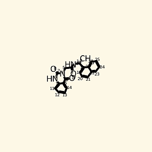 C[C@H](NC(=O)Cn1c(=O)[nH]c2ccccc2c1=O)c1cccc2ccccc12